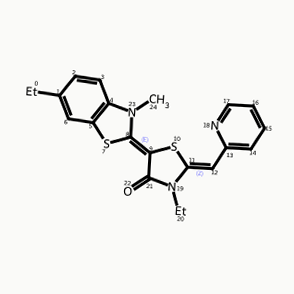 CCc1ccc2c(c1)S/C(=c1/s/c(=C\c3ccccn3)n(CC)c1=O)N2C